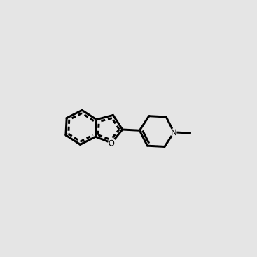 CN1CC=C(c2cc3ccccc3o2)CC1